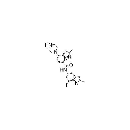 Cc1cn2cc(NC(=O)c3ccc(N4CCNCC4)c4cc(C)nn34)cc(F)c2n1